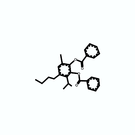 CCCCc1cc(C)c(OC(=O)c2ccccc2)c(OC(=O)c2ccccc2)c1C(C)C